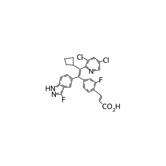 O=C(O)C=Cc1ccc(C(=C(c2ncc(Cl)cc2Cl)C2CCC2)c2ccc3[nH]nc(F)c3c2)cc1F